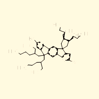 CCCCC(CC)CC1(CC(CC)CCCC)c2cc3c(cc2-c2sc(Br)cc21)C(CC(CC)CCCC)(CC(CC)CCCC)c1cc(Br)sc1-3